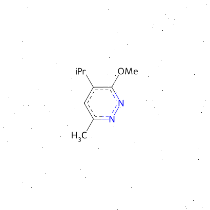 COc1nnc(C)cc1C(C)C